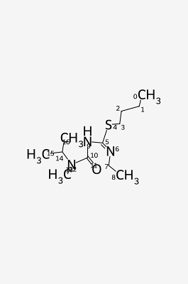 CCCCSC(=NCC)NC(=O)N(C)C(C)C